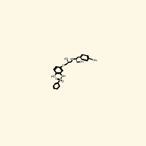 O=S(=O)(Nc1cc(OC[C@@H](O)CN[C@H](CO)Cc2ccc(O)cc2)ccc1O)c1ccccc1